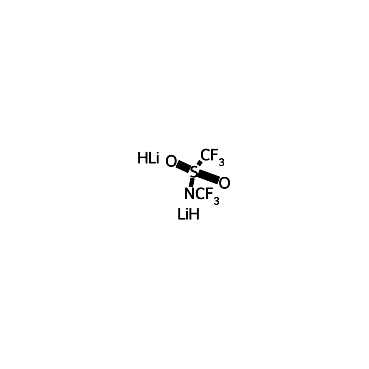 O=S(=O)(NC(F)(F)F)C(F)(F)F.[LiH].[LiH]